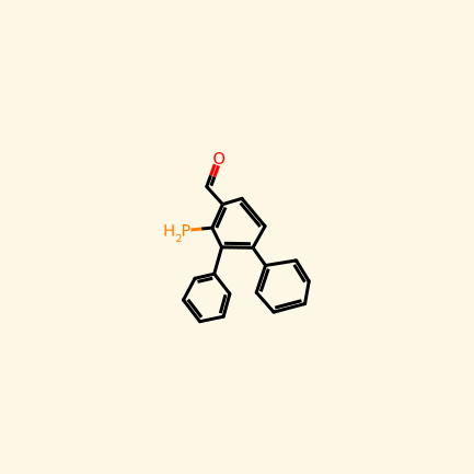 O=Cc1ccc(-c2ccccc2)c(-c2ccccc2)c1P